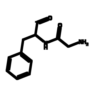 NCC(=O)NC([C]=O)Cc1ccccc1